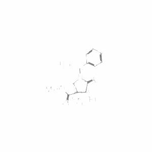 CC[C@H]1C(=O)N([C@H](C)c2ccccc2)C[C@]1(C)C(=O)OC